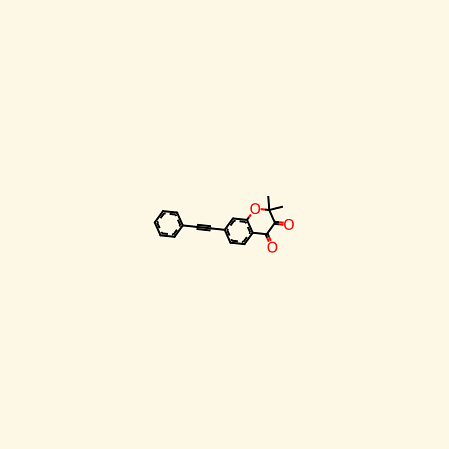 CC1(C)Oc2cc(C#Cc3ccccc3)ccc2C(=O)C1=O